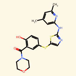 Cc1cc(C)nc(Nc2ncc(Sc3ccc(O)c(C(=O)N4CCOCC4)c3)s2)c1